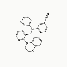 N#Cc1cccc(N(Cc2cccnc2N2CCSc3ccccc32)c2cccnc2)c1